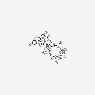 CC[C@H]1OC(=O)[C@H](C)[C@@H](O)[C@H](C)[C@@H](O)[C@](C)(O)C[C@@H](C)CN(CCCOC(=O)[C@H]2[C@H](C)CC3C4CCC5=CC(=O)C=C[C@]5(C)[C@@]4(F)[C@@H](O)C[C@@]32C)[C@H](C)[C@@H](O)[C@]1(C)O